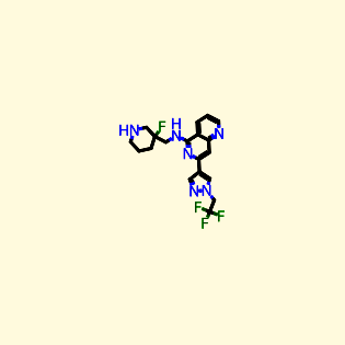 FC(F)(F)Cn1cc(-c2cc3ncccc3c(NCC3(F)CCCNC3)n2)cn1